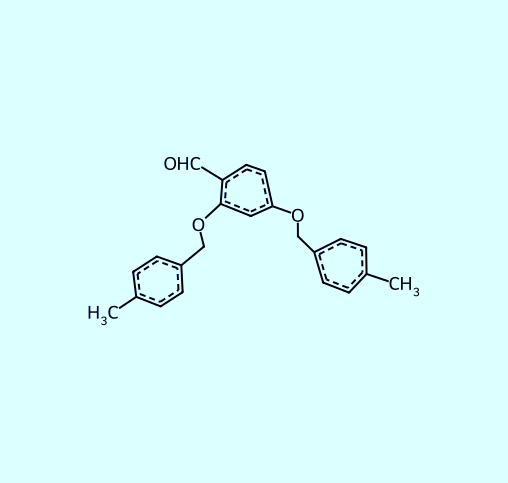 Cc1ccc(COc2ccc(C=O)c(OCc3ccc(C)cc3)c2)cc1